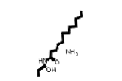 CCCCCCCCCCCC(=O)NC(O)CC.N